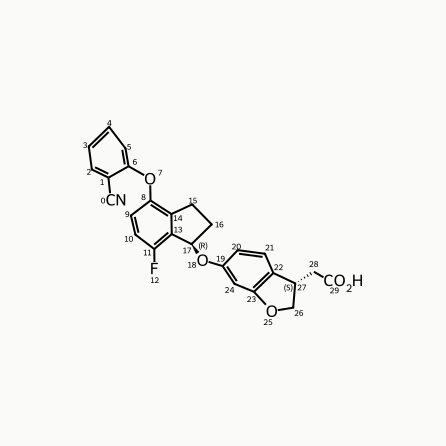 N#Cc1ccccc1Oc1ccc(F)c2c1CC[C@H]2Oc1ccc2c(c1)OC[C@H]2CC(=O)O